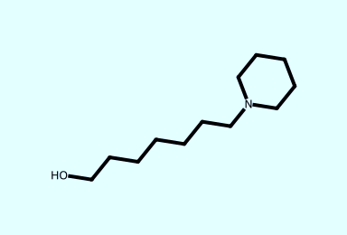 OCCCCCCCN1CCCCC1